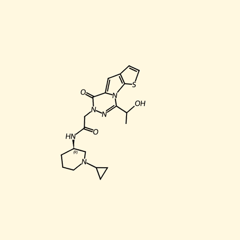 CC(O)c1nn(CC(=O)N[C@@H]2CCCN(C3CC3)C2)c(=O)c2cc3ccsc3n12